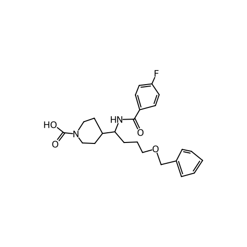 O=C(NC(CCCOCc1ccccc1)C1CCN(C(=O)O)CC1)c1ccc(F)cc1